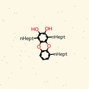 CCCCCCCc1cccc2c1Oc1c(CCCCCCC)c(O)c(O)c(CCCCCCC)c1O2